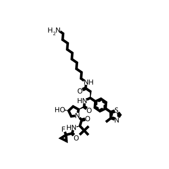 Cc1ncsc1-c1ccc([C@H](CC(=O)NCCCCCCCCCCN)NC(=O)[C@@H]2C[C@@H](O)CN2C(=O)[C@@H](NC(=O)C2(F)CC2)C(C)(C)C)cc1